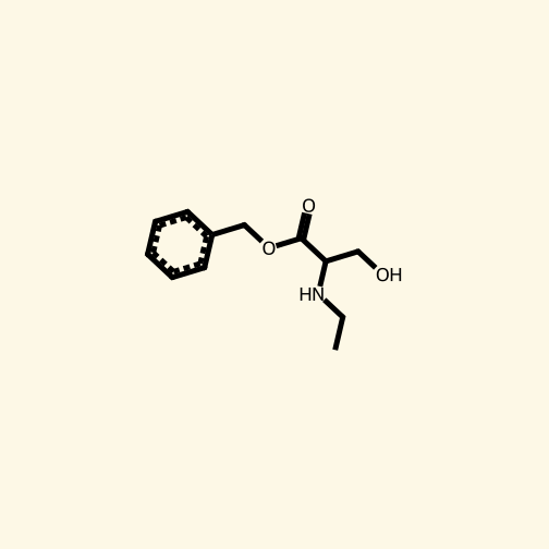 CCNC(CO)C(=O)OCc1ccccc1